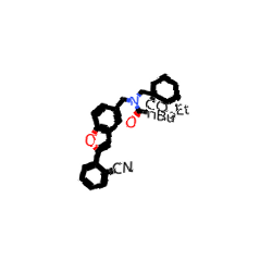 CCCCC(=O)N(Cc1ccc2oc(-c3ccccc3C#N)cc2c1)CC1(C(=O)OCC)CCCCC1